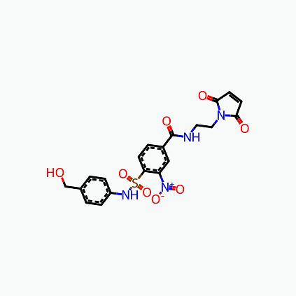 O=C(NCCN1C(=O)C=CC1=O)c1ccc(S(=O)(=O)Nc2ccc(CO)cc2)c([N+](=O)[O-])c1